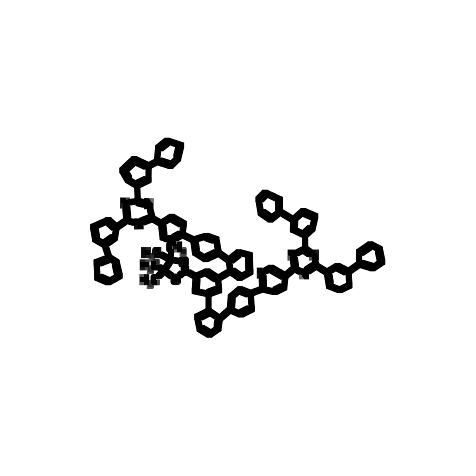 CC1(C)OB(c2cc(-c3ccccc3-c3ccc(-c4ccc(-c5nc(C6=CCCC(c7ccccc7)=C6)nc(-c6cccc(-c7ccccc7)c6)n5)cn4)cc3)cc(-c3ccccc3-c3ccc(-c4ccc(-c5nc(C6=CC(c7ccccc7)=C=C=C6)nc(-c6cccc(-c7ccccc7)c6)n5)cn4)cc3)c2)OC1(C)C